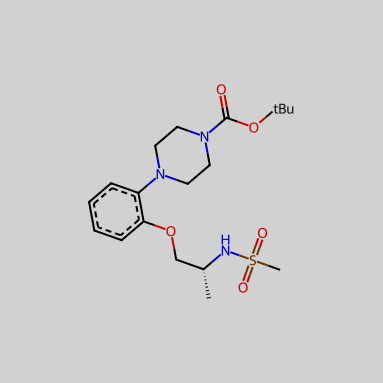 C[C@H](COc1ccccc1N1CCN(C(=O)OC(C)(C)C)CC1)NS(C)(=O)=O